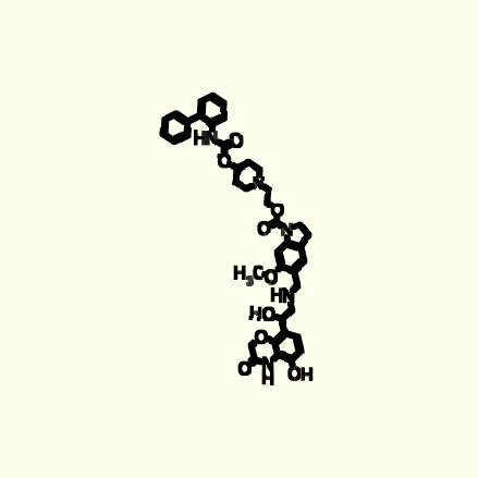 COc1cc2c(cc1CNCC(O)c1ccc(O)c3c1OCC(=O)N3)CCN2C(=O)OCCN1CCC(OC(=O)Nc2ccccc2-c2ccccc2)CC1